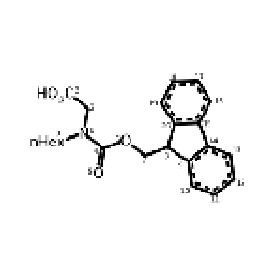 CCCCCCN(CC(=O)O)C(=O)OCC1c2ccccc2-c2ccccc21